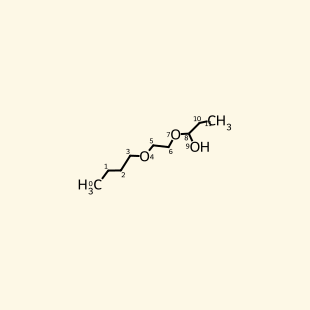 CCCCOCCOC(O)CC